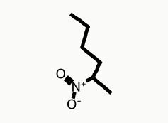 CCCCC(C)[N+](=O)[O-]